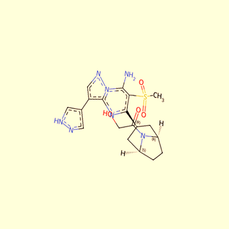 CS(=O)(=O)c1c([C@H]2C[C@H]3CC[C@@H](C2)N3C(=O)CO)nc2c(-c3cn[nH]c3)cnn2c1N